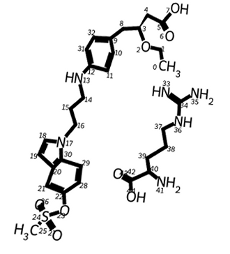 CCO[C@H](CC(=O)O)Cc1ccc(NCCCn2ccc3cc(OS(C)(=O)=O)ccc32)cc1.N=C(N)NCCCC(N)C(=O)O